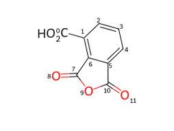 O=C(O)c1cccc2c1C(=O)OC2=O